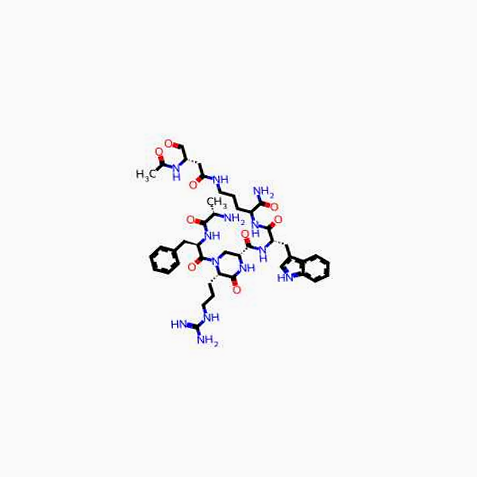 CC(=O)N[C@H](C=O)CC(=O)NCCCC(NC(=O)[C@H](Cc1c[nH]c2ccccc12)NC(=O)[C@H]1CN(C(=O)[C@@H](Cc2ccccc2)NC(=O)[C@H](C)N)[C@@H](CCCNC(=N)N)C(=O)N1)C(N)=O